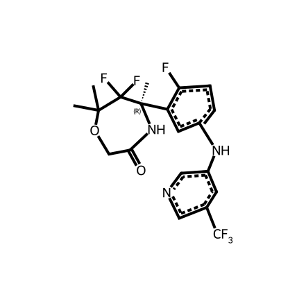 CC1(C)OCC(=O)N[C@](C)(c2cc(Nc3cncc(C(F)(F)F)c3)ccc2F)C1(F)F